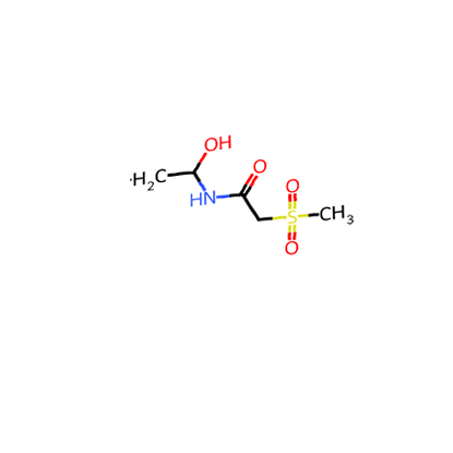 [CH2]C(O)NC(=O)CS(C)(=O)=O